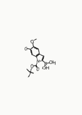 COc1cc2cc(B(O)O)n(C(=O)OC(C)(C)C)c2cc1Cl